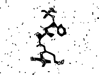 C[C@H](CC(CCC=O)O[Si](C)(C)C(C)(C)C)C(=O)N(C)[C@H](C)[C@H](O[Si](C)(C)C(C)(C)C)c1ccccc1